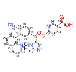 Cn1cncc1C(OCc1ccc(C(=O)O)cn1)c1ccc(C#N)c(-c2cccc3cccnc23)c1